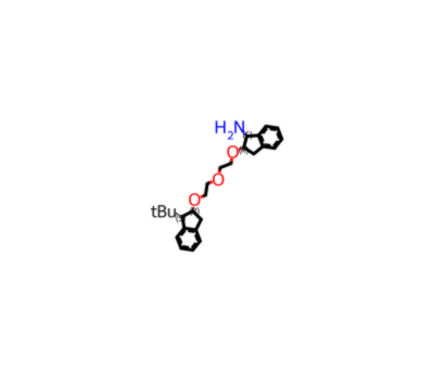 CC(C)(C)[C@H]1c2ccccc2C[C@H]1OCCOCCO[C@@H]1Cc2ccccc2[C@@H]1N